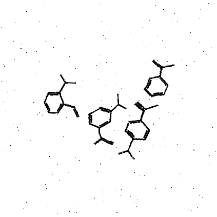 C=C(C)c1ccc(C(C)C)cc1.C=C(C)c1cccc(C(C)C)c1.C=C(C)c1ccccc1.C=Cc1ccccc1C(C)C